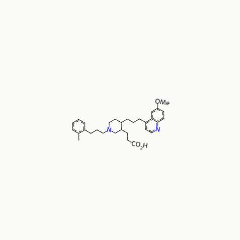 COc1ccc2nccc(CCCC3CCN(CCCc4ccccc4C)CC3CCC(=O)O)c2c1